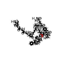 CCC(CO)OC(COC(=O)NCCC(=O)NCCSC1CC(=O)N(CCCCCC(=O)N[C@H](C(=O)N[C@@H](CCCNC(N)=O)C(=O)Nc2ccc(COC(=O)N(C)[C@H](C(=O)NC(C(=O)N(C)[C@@H]([C@@H](C)CC)[C@@H](CC(=O)N3CCC[C@H]3[C@H](OC)[C@@H](C)C(=O)N[C@H](C)[C@@H](O)c3ccccc3)OC)C(C)C)C(C)C)cc2)C(C)C)C1=O)OC